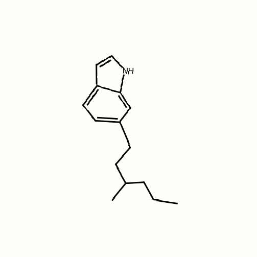 CCCC(C)CCc1ccc2cc[nH]c2c1